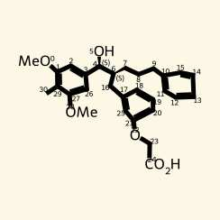 COc1cc([C@@H](O)[C@@H](CCCc2ccccc2)Cc2cccc(OCC(=O)O)c2)cc(OC)c1C